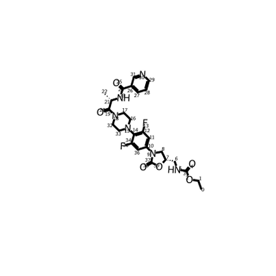 CCOC(=O)NC[C@H]1CN(c2cc(F)c(N3CCN(C(=O)[C@H](C)NC(=O)c4cccnc4)CC3)c(F)c2)C(=O)O1